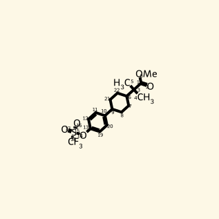 COC(=O)C(C)(C)C1CCC(c2ccc(OS(=O)(=O)C(F)(F)F)cc2)CC1